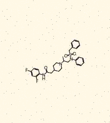 CC(CN(c1ccccc1)S(=O)(=O)Cc1ccccc1)N1CCC(CC(=O)Nc2ccc(F)cc2F)CC1